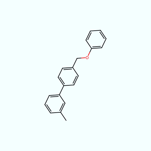 Cc1cccc(-c2ccc(COc3ccccc3)cc2)c1